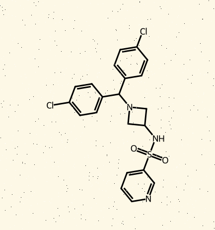 O=S(=O)(NC1CN(C(c2ccc(Cl)cc2)c2ccc(Cl)cc2)C1)c1cccnc1